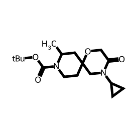 CC1CC2(CCN1C(=O)OC(C)(C)C)CN(C1CC1)C(=O)CO2